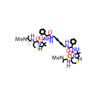 CN[C@@H](C)C(=S)N[C@H]1CCS[C@H]2CC(C)(C)[C@@H](C(=O)N[C@H](C(=O)NCC#CC#CCNC(=O)[C@@H](NC(=O)[C@H]3N4C(=O)[C@@H](NC(=S)[C@H](C)NC)CCS[C@H]4CC3(C)C)c3ccccc3)c3ccccc3)N2C1=O